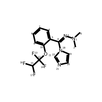 CN(C)N=C(c1ccccc1OC(F)(F)C(F)F)n1ccnc1